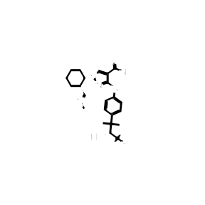 CN=C[C@H]1CCCC[C@@H]1n1cc(C(N)=O)c(Nc2ccc(C(C)(C)[C@@H](O)C(F)(F)F)cc2)n1